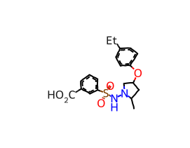 CCc1ccc(OC2CC(C)N(NS(=O)(=O)c3cccc(C(=O)O)c3)C2)cc1